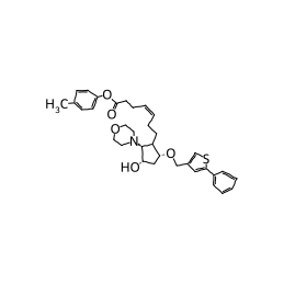 Cc1ccc(OC(=O)CC/C=C\CCC2[C@H](OCc3csc(-c4ccccc4)c3)C[C@H](O)[C@H]2N2CCOCC2)cc1